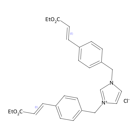 CCOC(=O)/C=C/c1ccc(Cn2cc[n+](Cc3ccc(/C=C/C(=O)OCC)cc3)c2)cc1.[Cl-]